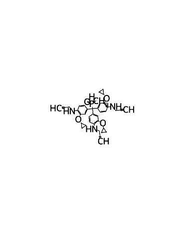 C#CCNc1ccc(C(c2ccc(NCC#C)c(OC3CC3)c2)(c2ccc(NCC#C)c(OC3CC3)c2)[PH](C)=O)cc1OC1CC1